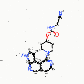 N#CCNC(=O)OC1CCN(c2nccc3cnc4[nH]ccc4c23)CC1